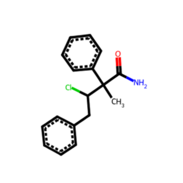 CC(C(N)=O)(c1ccccc1)C(Cl)Cc1ccccc1